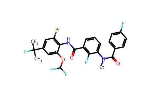 CCN(C(=O)c1ccc(F)cc1)c1cccc(C(=O)Nc2c(Br)cc(C(F)(C(F)(F)F)C(F)(F)F)cc2OC(F)F)c1F